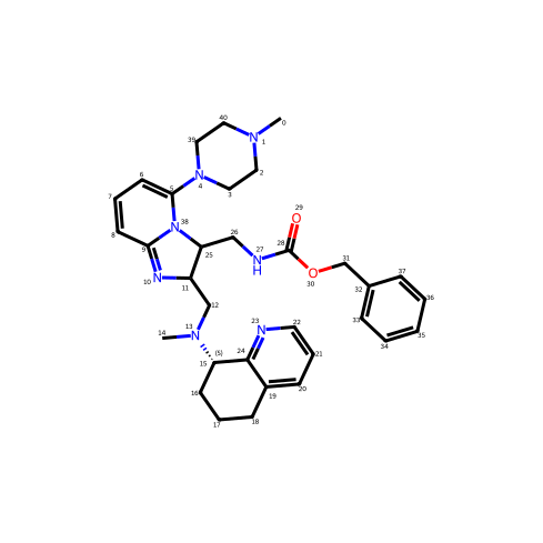 CN1CCN(C2=CC=CC3=NC(CN(C)[C@H]4CCCc5cccnc54)C(CNC(=O)OCc4ccccc4)N23)CC1